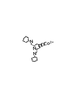 C(=Nc1ccccc1)c1cccc(C=Nc2ccccc2)n1.[Cl-].[Cl-].[Co+2]